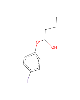 CCCC(O)Oc1ccc(I)cc1